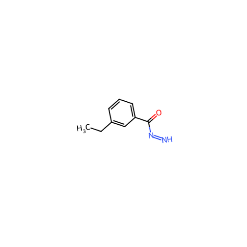 CCc1cccc(C(=O)N=N)c1